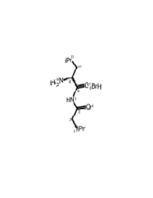 Br.CC(C)CC(=O)NC(=O)[C@@H](N)CC(C)C